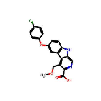 COCc1c(C(=O)O)ncc2[nH]c3ccc(Oc4ccc(Cl)cc4)cc3c12